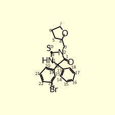 O=C1N(CC2CCCO2)C(=S)NC1(c1ccccc1)c1cccc(Br)c1